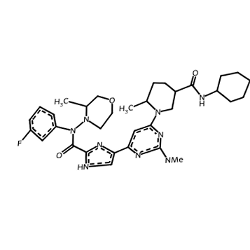 CNc1nc(-c2c[nH]c(C(=O)N(c3cccc(F)c3)N3CCOCC3C)n2)cc(N2CC(C(=O)NC3CCCCC3)CCC2C)n1